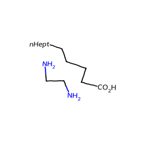 CCCCCCCCCCCC(=O)O.NCCN